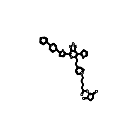 O=C(CCCC[n+]1ccc(CCc2nc(-c3ccc(-c4ccc(-c5ccccc5)cc4)s3)c3nonc3c2-c2cccs2)cc1)ON1C(=O)CCC1=O